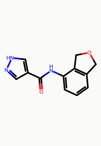 O=C(Nc1cccc2c1COC2)c1cn[nH]c1